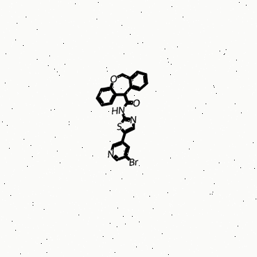 O=C(Nc1ncc(-c2cncc(Br)c2)s1)C1c2ccccc2COc2ccccc21